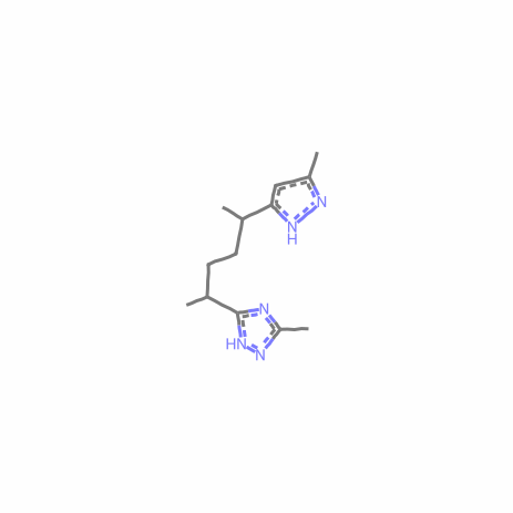 Cc1cc(C(C)CCC(C)c2nc(C)n[nH]2)[nH]n1